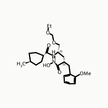 CCOCOC[C@H](C[C@H](Cc1ccccc1OC)C(=O)NO)NC(=O)[C@H]1CC[C@H](C)CC1